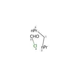 CCCCCCC.O=CCl